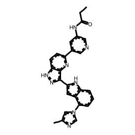 CCC(=O)Nc1cncc(-c2ccc3[nH]nc(-c4cc5c(-n6cnc(C)c6)cccc5[nH]4)c3n2)c1